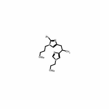 COCCCn1cc(CC(C)c2cn(CCOC)cn2)nc1C(C)C